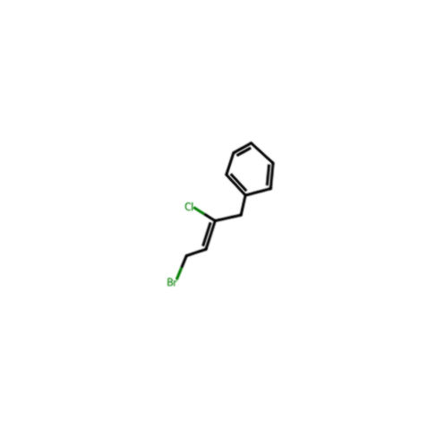 Cl/C(=C\CBr)Cc1ccccc1